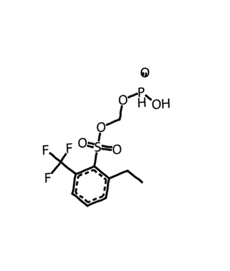 CCc1cccc(C(F)(F)F)c1S(=O)(=O)OCO[PH](=O)O